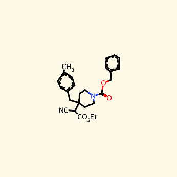 CCOC(=O)C(C#N)C1(Cc2ccc(C)cc2)CCN(C(=O)OCc2ccccc2)CC1